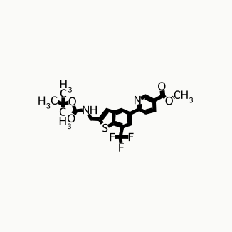 COC(=O)c1ccc(-c2cc(C(F)(F)F)c3sc(CNC(=O)OC(C)(C)C)cc3c2)nc1